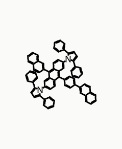 c1ccc(-c2ccc(-c3ccccc3)n2-c2ccc3c(-c4ccc5ccccc5c4)c4cc(-n5c(-c6ccccc6)ccc5-c5ccccc5)ccc4c(-c4ccc(-c5ccc6ccccc6c5)cc4)c3c2)cc1